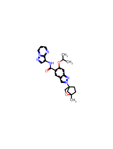 CC(C)Oc1cc2nn(C34CCC(C)(C3)OC4)cc2cc1C(=O)Nc1cnn2cccnc12